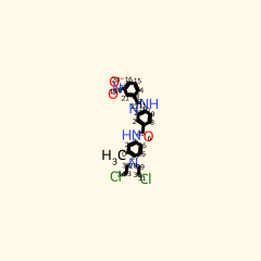 Cc1cc(NC(=O)c2ccc3[nH]c(-c4cccc([N+](=O)[O-])c4)nc3c2)ccc1N(CCCl)CCCl